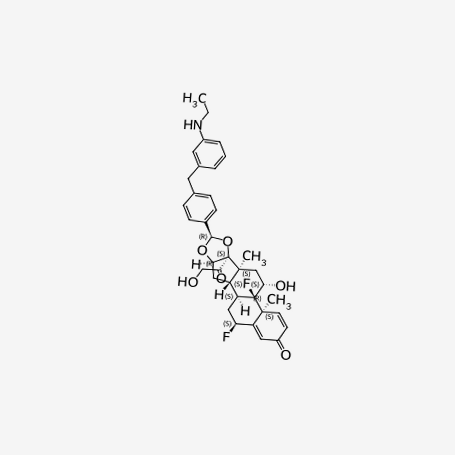 CCNc1cccc(Cc2ccc([C@@H]3O[C@@H]4C[C@H]5[C@@H]6C[C@H](F)C7=CC(=O)C=C[C@]7(C)[C@@]6(F)[C@@H](O)C[C@]5(C)[C@]4(C(=O)CO)O3)cc2)c1